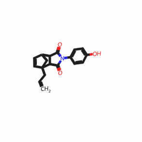 C=CCC12C=CC(C1)C1C(=O)N(c3ccc(O)cc3)C(=O)C12